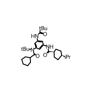 CC(C)[C@H]1CC[C@@H](C(=O)Nc2cc(NC(=O)C(C)(C)C)cc(N(C(=O)C3CCCCC3)C(C)(C)C)c2)CC1